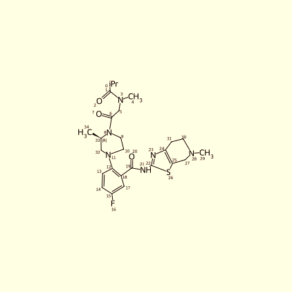 CC(C)C(=O)N(C)CC(=O)N1CCN(c2ccc(F)cc2C(=O)Nc2nc3c(s2)CN(C)CC3)C[C@H]1C